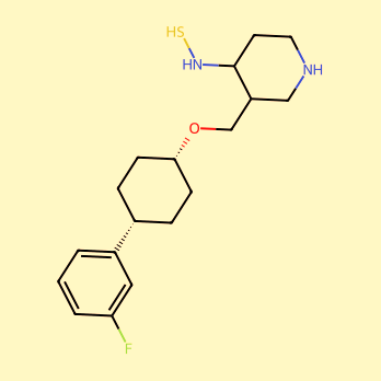 Fc1cccc([C@H]2CC[C@@H](OCC3CNCCC3NS)CC2)c1